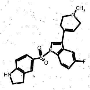 CN1CC=C(c2cn(S(=O)(=O)c3ccc4c(c3)CCN4)c3ccc(F)cc23)CC1